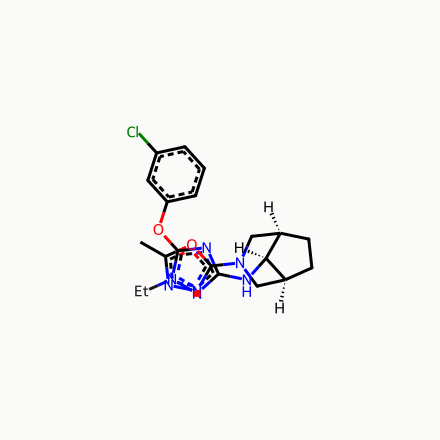 CCn1nc(N[C@H]2[C@@H]3CC[C@H]2CN(c2nnc(C)o2)C3)nc1Oc1cccc(Cl)c1